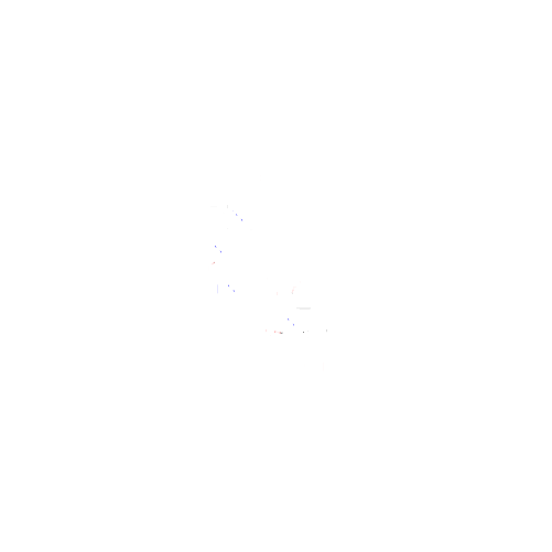 CC(O)C1C(=O)N2C(C(=O)OSC3CNC(C(=O)N4CCC([N+](C)(C)CCO)C4)C3)=CC(C)[C@@H]12